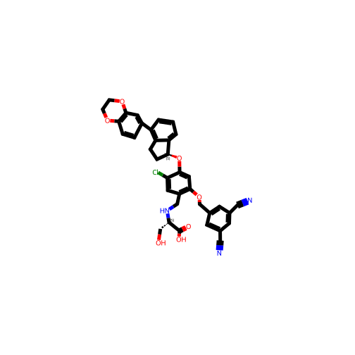 N#Cc1cc(C#N)cc(COc2cc(O[C@H]3CCc4c(-c5ccc6c(c5)OCCO6)cccc43)c(Cl)cc2CN[C@@H](CO)C(=O)O)c1